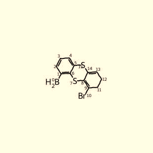 Bc1cccc2c1SC1=C(Br)CCC=C1S2